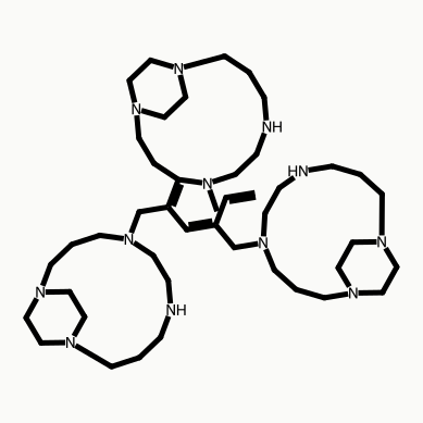 C=C/C(=C\C(CN1CCCN2CCN(CCCNCC1)CC2)=C1\CCN2CCN(CCCNCCN1C)CC2)CN1CCCN2CCN(CCCNCC1)CC2